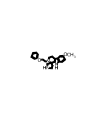 COc1ccc2[nH]c3c(c2c1)CCN(CCOc1ccccc1)C31CCNC1